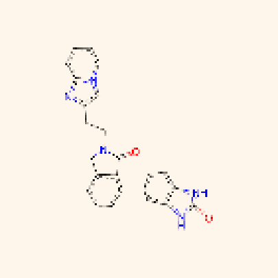 O=C1c2c(cccc2-c2ccc3[nH]c(=O)[nH]c3c2)CN1CCc1cn2ccccc2n1